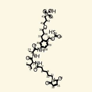 CC(C)[C@H](NC(=O)CCCCCN1C(=O)C=CC1=O)C(=O)N[C@@H](C)C(=O)Nc1ccc(COC(=O)S)c(CCCOCCCS(=O)(=O)O)c1